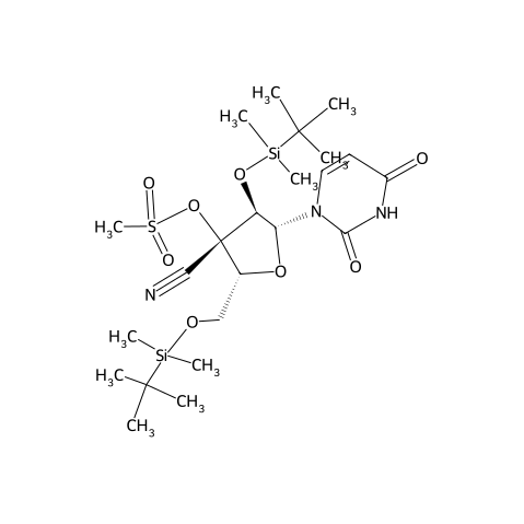 CC(C)(C)[Si](C)(C)OC[C@H]1O[C@@H](n2ccc(=O)[nH]c2=O)[C@H](O[Si](C)(C)C(C)(C)C)[C@@]1(C#N)OS(C)(=O)=O